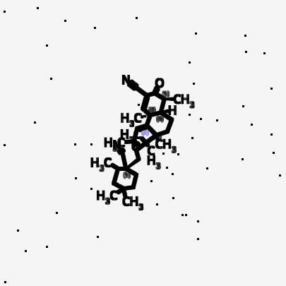 CC(=O)/C=C1/[C@@]2(C)C=C(C#N)C(=O)[C@@H](C)[C@@H]2CC[C@@]1(C)C(C)(C)CC[C@@]1(C#N)CCC(C)(C)CC1C